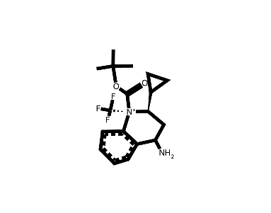 CC(C)(C)OC(=O)[N@+]1(C(F)(F)F)c2ccccc2C(N)C[C@@H]1C1CC1